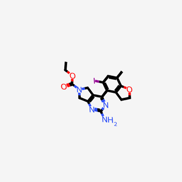 CCOC(=O)N1Cc2nc(N)nc(-c3c(I)cc(C)c4c3CCO4)c2C1